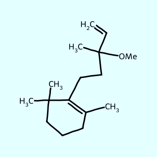 C=CC(C)(CCC1=C(C)CCCC1(C)C)OC